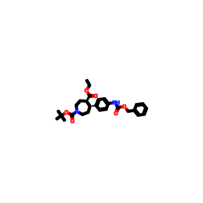 CCOC(=O)[C@@H]1CCN(C(=O)OC(C)(C)C)CC[C@H]1c1ccc(NC(=O)OCc2ccccc2)cc1